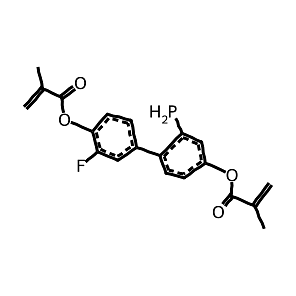 C=C(C)C(=O)Oc1ccc(-c2ccc(OC(=O)C(=C)C)c(F)c2)c(P)c1